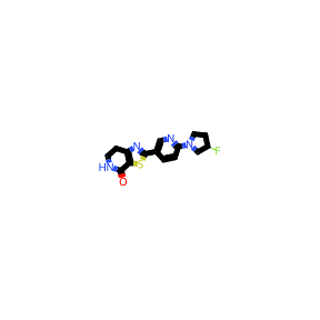 O=C1NCCc2nc(-c3ccc(N4CC[C@H](F)C4)nc3)sc21